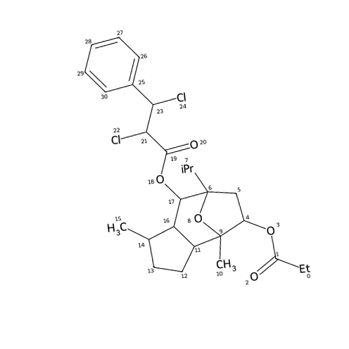 CCC(=O)OC1CC2(C(C)C)OC1(C)C1CCC(C)C1C2OC(=O)C(Cl)C(Cl)c1ccccc1